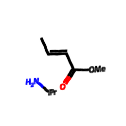 CC(C)N.CC=CC(=O)OC